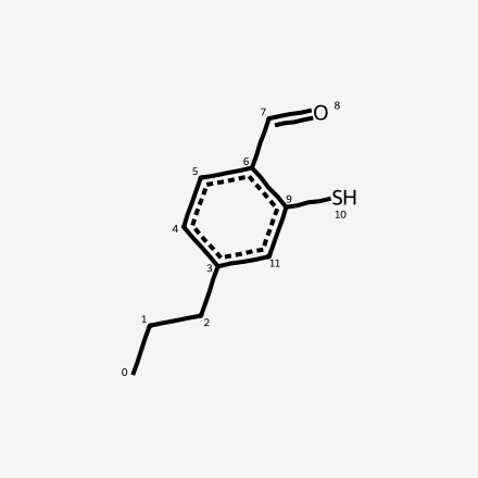 CCCc1ccc(C=O)c(S)c1